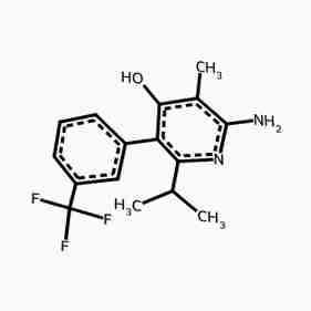 Cc1c(N)nc(C(C)C)c(-c2cccc(C(F)(F)F)c2)c1O